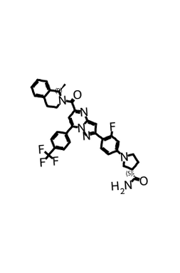 C[C@@H]1c2ccccc2CCN1C(=O)c1cc(-c2ccc(C(F)(F)F)cc2)n2nc(-c3ccc(N4CC[C@H](C(N)=O)C4)cc3F)cc2n1